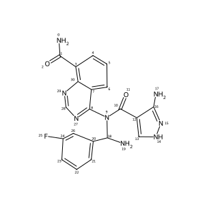 NC(=O)c1cccc2c(N(C(=O)c3c[nH]nc3N)C(N)c3cccc(F)c3)ncnc12